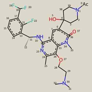 CC(=O)N1CCC(O)(c2cc3c(N[C@H](C)c4cccc(C(F)F)c4F)nc(C)c(OCCN(C)C)c3n(C)c2=O)CC1